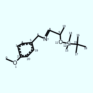 COc1ccc(CN=CC(C)O[Si](C)(C)C(C)(C)C)cc1